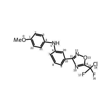 COc1ccc(Nc2cccc(-c3noc(C(F)(F)Cl)n3)c2)cc1